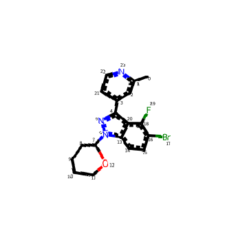 Cc1cc(-c2nn(C3CCCCO3)c3ccc(Br)c(F)c23)ccn1